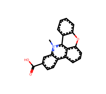 C[n+]1c2c3c(cccc3c3ccc(C(=O)O)cc31)Oc1ccccc1-2